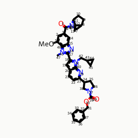 COc1cc(C(=O)N2CC3CCC2[C@@H]3C)cc2nc(-c3cc4ccc(C5CCN(C(=O)OCc6ccccc6)C5)nc4n3CC3CC3)n(C)c12